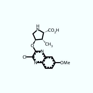 COc1ccc2nc(Cl)c(O[C@H]3CN[C@H](C(=O)O)[C@@H]3C)nc2c1